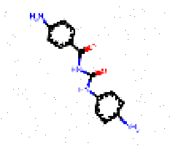 Nc1ccc(NC(=O)NC(=O)c2ccc(N)cc2)cc1